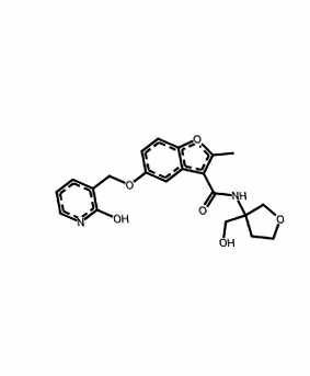 Cc1oc2ccc(OCc3cccnc3O)cc2c1C(=O)NC1(CO)CCOC1